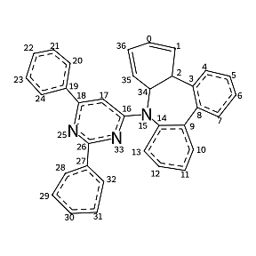 C1=CC2c3ccccc3-c3ccccc3N(c3cc(-c4ccccc4)nc(-c4ccccc4)n3)C2C=C1